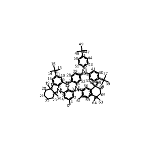 Cc1cc2c3c(c1)N1c4c(cc(C(C)(C)C)cc4C4(C)CCCCC14C)B3c1ccc(N(c3ccc(C(C)(C)C)cc3)c3ccc(C(C)(C)C)cc3)cc1N2c1cc2c(cc1C)C(C)(C)CCC2(C)C